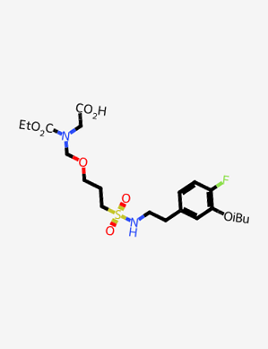 CCOC(=O)N(COCCCS(=O)(=O)NCCc1ccc(F)c(OCC(C)C)c1)CC(=O)O